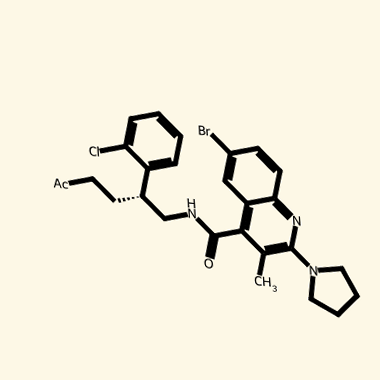 CC(=O)CC[C@@H](CNC(=O)c1c(C)c(N2CCCC2)nc2ccc(Br)cc12)c1ccccc1Cl